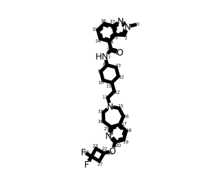 Cn1cc2c(C(=O)NC3CCC(CCN4CCc5ccc(OC6CC(F)(F)C6)nc5CC4)CC3)cccc2n1